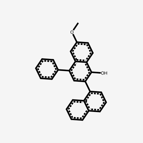 COc1ccc2c(O)c(-c3cccc4ccccc34)cc(-c3ccccc3)c2c1